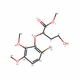 COC(=O)C(CCO)Oc1c(Br)ccc(OC)c1OC